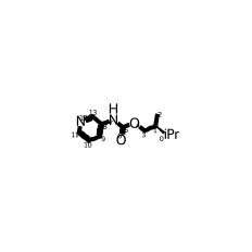 CC(C)[C@H](C)COC(=O)Nc1cccnc1